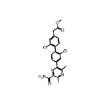 COC(=O)Cc1ccc(-c2ccc(-c3nc(C(N)=O)c(C)nc3C)cc2Cl)c(Cl)c1